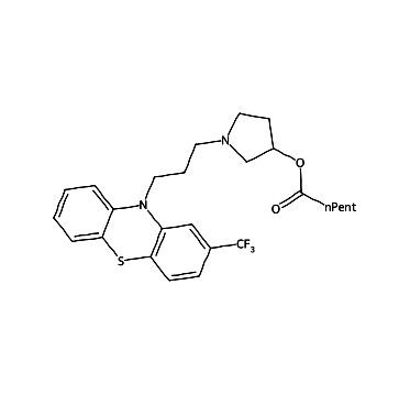 CCCCCC(=O)OC1CCN(CCCN2c3ccccc3Sc3ccc(C(F)(F)F)cc32)C1